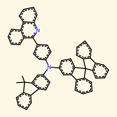 CC1(C)c2ccccc2-c2ccc(N(c3ccc(-c4nc5ccccc5c5ccccc45)cc3)c3ccc4c(c3)-c3ccccc3C43c4ccccc4-c4ccccc43)cc21